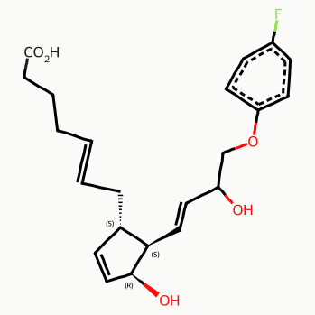 O=C(O)CCCC=CC[C@H]1C=C[C@H](O)[C@@H]1C=CC(O)COc1ccc(F)cc1